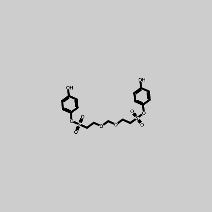 O=S(=O)(CCOCOCCS(=O)(=O)Oc1ccc(O)cc1)Oc1ccc(O)cc1